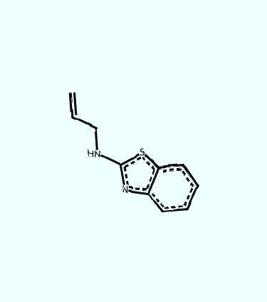 C=CCNc1nc2ccccc2s1